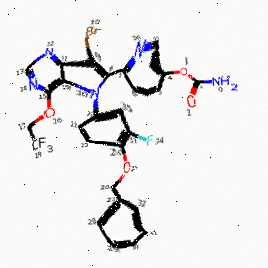 NC(=O)Oc1ccc(-c2c(Br)c3ncnc(OCC(F)(F)F)c3n2-c2ccc(OCc3ccccc3)c(F)c2)nc1